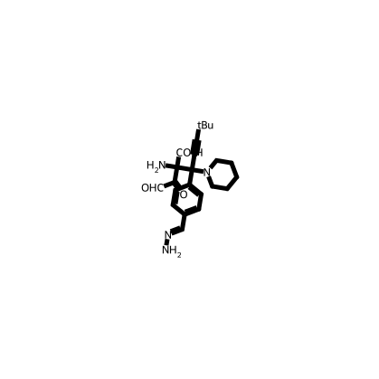 CC(C)(C)C#CC(c1ccc(C=NN)cc1)(N1CCCCC1)C(N)(C(=O)O)C(=O)C=O